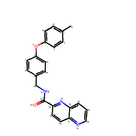 Cc1ccc(Oc2ccc(CNC(=O)c3ccc4ncccc4n3)cc2)cc1